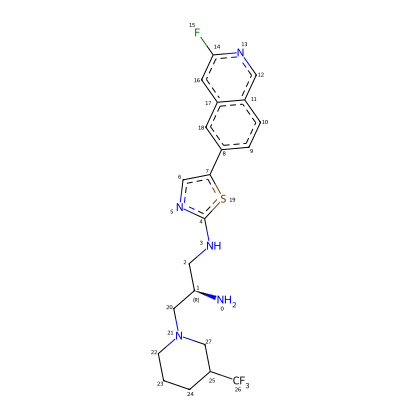 N[C@H](CNc1ncc(-c2ccc3cnc(F)cc3c2)s1)CN1CCCC(C(F)(F)F)C1